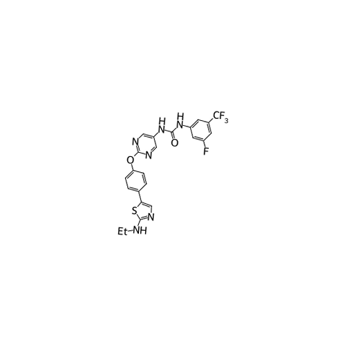 CCNc1ncc(-c2ccc(Oc3ncc(NC(=O)Nc4cc(F)cc(C(F)(F)F)c4)cn3)cc2)s1